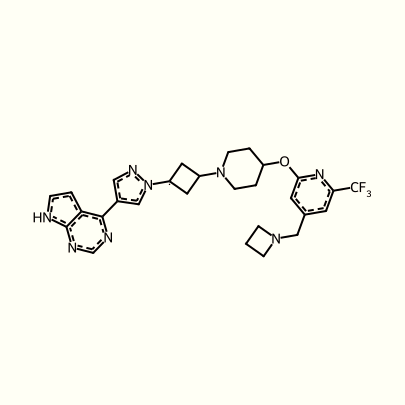 FC(F)(F)c1cc(CN2CCC2)cc(OC2CCN(C3C[C](n4cc(-c5ncnc6[nH]ccc56)cn4)C3)CC2)n1